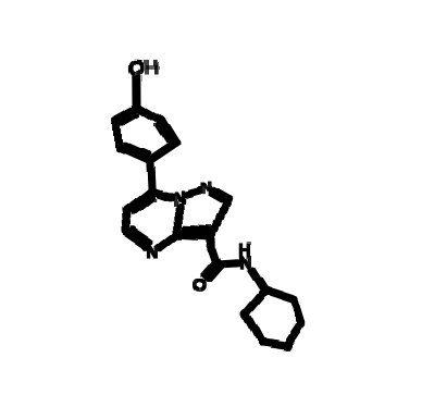 O=C(NC1CCCCC1)c1cnn2c(-c3ccc(O)cc3)ccnc12